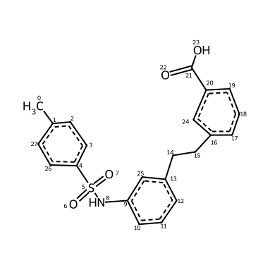 Cc1ccc(S(=O)(=O)Nc2cccc(CCc3cccc(C(=O)O)c3)c2)cc1